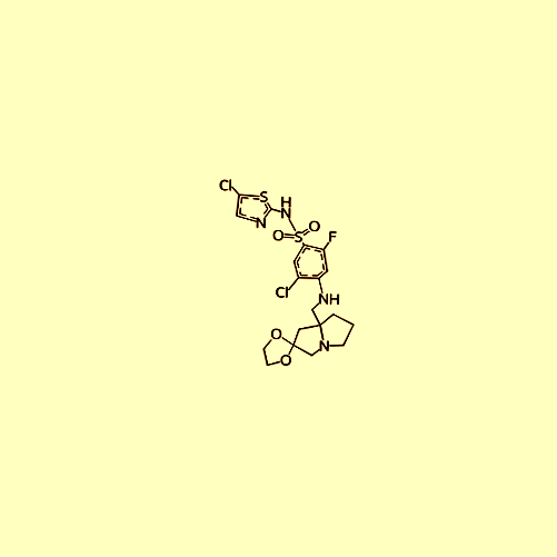 O=S(=O)(Nc1ncc(Cl)s1)c1cc(Cl)c(NCC23CCCN2CC2(C3)OCCO2)cc1F